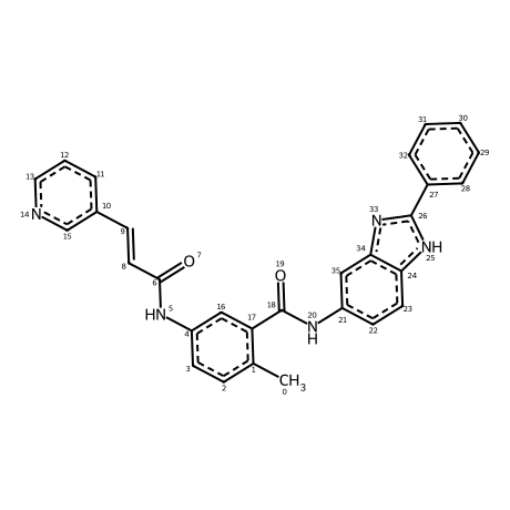 Cc1ccc(NC(=O)/C=C/c2cccnc2)cc1C(=O)Nc1ccc2[nH]c(-c3ccccc3)nc2c1